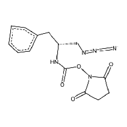 [N-]=[N+]=NC[C@@H](Cc1ccccc1)NC(=O)ON1C(=O)CCC1=O